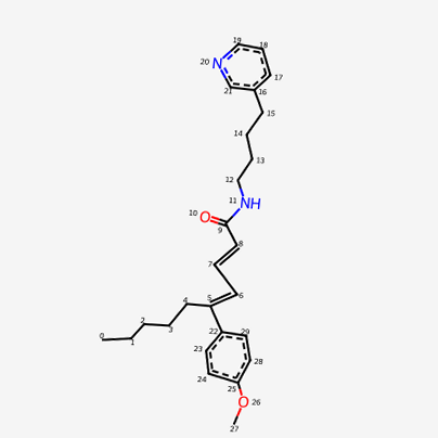 CCCCC/C(=C\C=C\C(=O)NCCCCc1cccnc1)c1ccc(OC)cc1